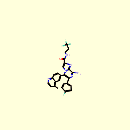 Cc1ccnc2ccc(-c3c(-c4ccc(F)cc4)nc(N)c4nc(C(=O)NCCC(F)(F)F)cn34)cc12